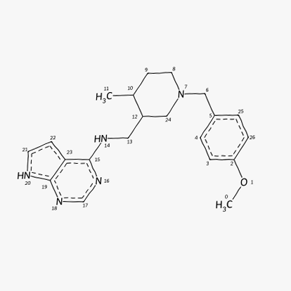 COc1ccc(CN2CCC(C)C(CNc3ncnc4[nH]ccc34)C2)cc1